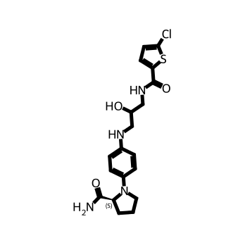 NC(=O)[C@@H]1CCCN1c1ccc(NCC(O)CNC(=O)c2ccc(Cl)s2)cc1